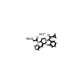 COCC(=O)SC1CCN(C(C(=O)C2CC2)c2ccccc2F)C/C1=C/c1csnn1.Cl